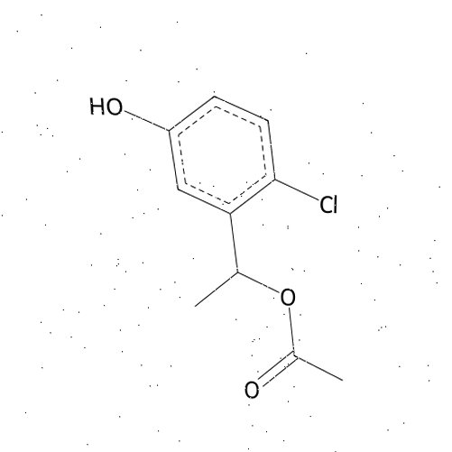 CC(=O)OC(C)c1cc(O)ccc1Cl